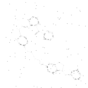 O=C(c1ccccc1)c1ccccc1NC(Cc1ccc(OCCCNc2ccc3c(c2)CCC3Cc2ccccc2)cc1)C(=O)O